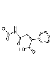 O=C(C=C(C(=O)O)c1ccccc1)N[N+](=O)[O-]